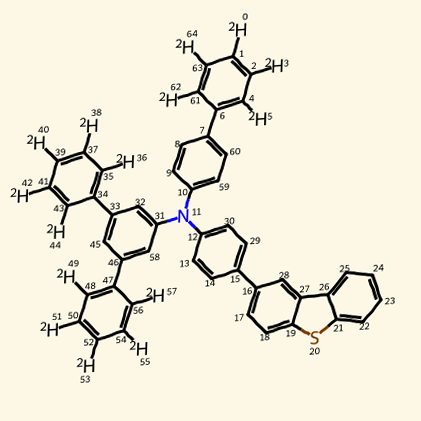 [2H]c1c([2H])c([2H])c(-c2ccc(N(c3ccc(-c4ccc5sc6ccccc6c5c4)cc3)c3cc(-c4c([2H])c([2H])c([2H])c([2H])c4[2H])cc(-c4c([2H])c([2H])c([2H])c([2H])c4[2H])c3)cc2)c([2H])c1[2H]